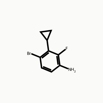 Nc1ccc(Br)c(C2CC2)c1F